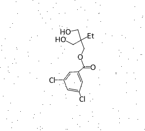 CCC(CO)(CO)COC(=O)c1cc(Cl)cc(Cl)c1